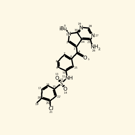 CCC(C)n1cc(C(=O)c2cccc(NS(=O)(=O)c3ccc(C)c(Cl)c3)c2)c2c(N)ncnc21